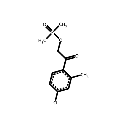 Cc1cc(Cl)ccc1C(=O)COP(C)(C)=O